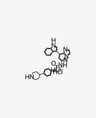 Cl.Cl.O=C(Cc1ccc(C2CCNCC2)cc1)Nc1cc(-c2c[nH]c3ccccc23)c2nccn2n1